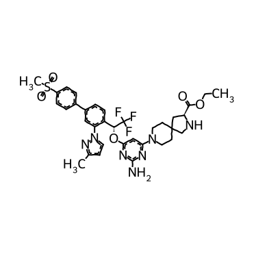 CCOC(=O)[C@@H]1CC2(CCN(c3cc(O[C@H](c4ccc(-c5ccc(S(C)(=O)=O)cc5)cc4-n4ccc(C)n4)C(F)(F)F)nc(N)n3)CC2)CN1